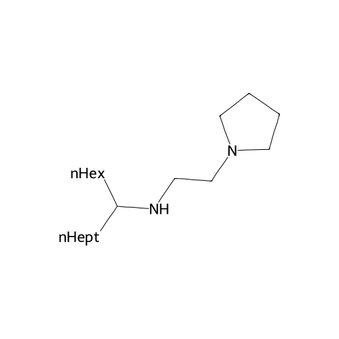 CCCCCCCC(CCCCCC)NCCN1CCCC1